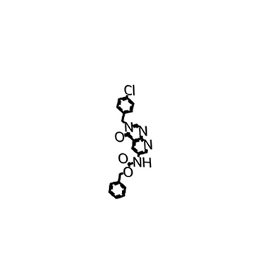 O=C(Nc1cnc2ncn(Cc3ccc(Cl)cc3)c(=O)c2c1)OCc1ccccc1